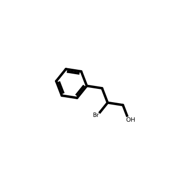 OCC(Br)Cc1ccccc1